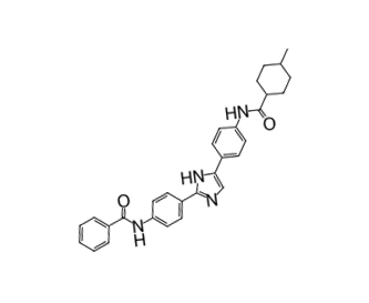 CC1CCC(C(=O)Nc2ccc(-c3cnc(-c4ccc(NC(=O)c5ccccc5)cc4)[nH]3)cc2)CC1